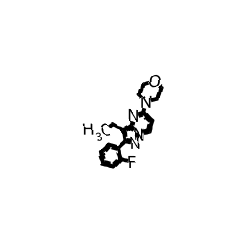 CCc1c(-c2ccccc2F)nn2ccc(N3CCOCC3)nc12